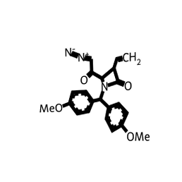 C=CC1C(=O)N(C(c2ccc(OC)cc2)c2ccc(OC)cc2)C1C(=O)C=[N+]=[N-]